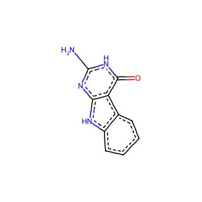 Nc1nc2[nH]c3ccccc3c2c(=O)[nH]1